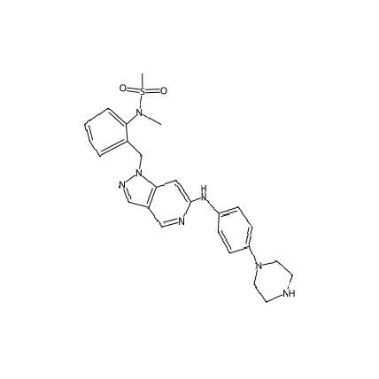 CN(c1ccccc1Cn1ncc2cnc(Nc3ccc(N4CCNCC4)cc3)cc21)S(C)(=O)=O